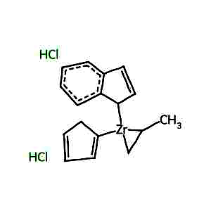 C[CH]1[CH2][Zr]1([C]1=CC=CC1)[CH]1C=Cc2ccccc21.Cl.Cl